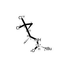 C[C@@H](N[S@@+]([O-])C(C)(C)C)[C@@H]1CC1(Cl)Cl